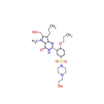 CCCOc1ccc(S(=O)(=O)N2CCN(CCO)CC2)cc1-c1nc2c(CCC)c(CO)n(C)c2c(=O)[nH]1